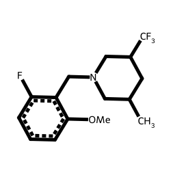 COc1cccc(F)c1CN1CC(C)CC(C(F)(F)F)C1